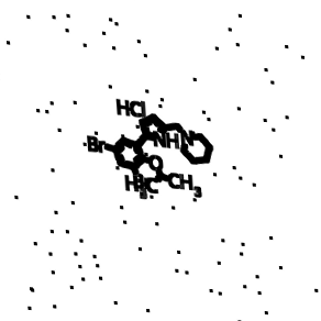 CC(C)Oc1c(Br)cc(Br)cc1-c1ccc(CN2CCCCC2)[nH]1.Cl